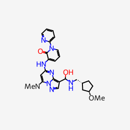 CNc1cc(Nc2cccn(-c3ccccn3)c2=O)nc2c(C(O)NC[C@@H]3CC[C@@H](OC)C3)cnn12